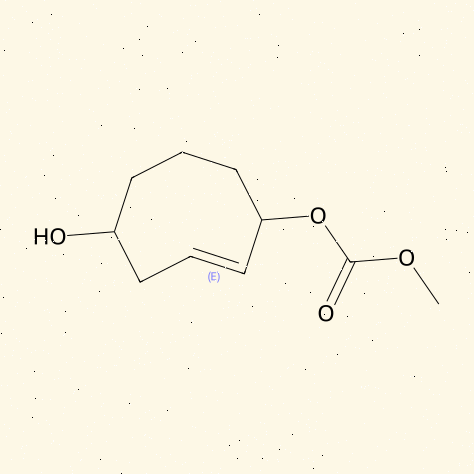 COC(=O)OC1/C=C/CC(O)CCC1